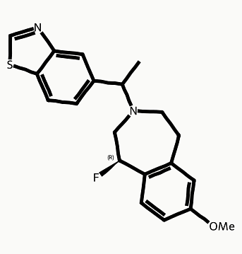 COc1ccc2c(c1)CCN(C(C)c1ccc3scnc3c1)C[C@@H]2F